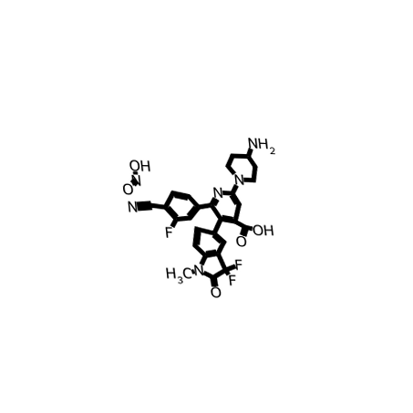 CN1C(=O)C(F)(F)c2cc(-c3c(C(=O)O)cc(N4CCC(N)CC4)nc3-c3ccc(C#N)c(F)c3)ccc21.O=NO